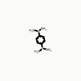 [SiH3]N([SiH3])c1ccc(N([SiH3])[SiH3])cc1